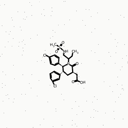 CCC(CNS(C)(=O)=O)N1C(=O)[C@@H](CC(=O)O)C[C@H](c2cccc(Cl)c2)[C@H]1c1ccc(Cl)cc1